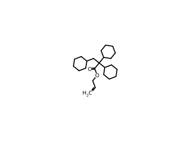 C=CCOC(=O)C(CC1CCCCC1)(C1CCCCC1)C1CCCCC1